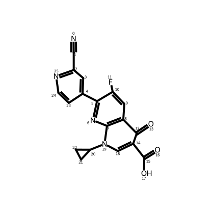 N#Cc1cc(-c2nc3c(cc2F)c(=O)c(C(=O)O)cn3C2CC2)ccn1